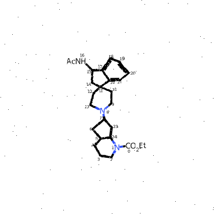 CCOC(=O)N1CCCC2CC(N3CCC4(CC3)CC(NC(C)=O)c3ccccc34)CC21